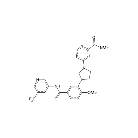 CNC(=O)c1cc(N2CCC(c3cc(C(=O)Nc4cncc(C(F)(F)F)c4)ccc3OC)C2)ccn1